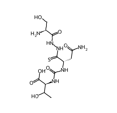 CC(O)[C@H](NC(=O)N[C@@H](CC(N)=O)C(=S)NNC(=O)[C@@H](N)CO)C(=O)O